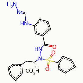 NN=CNc1cccc(C(=O)NN([C@@H](Cc2ccccc2)C(=O)O)S(=O)(=O)c2ccccc2)c1